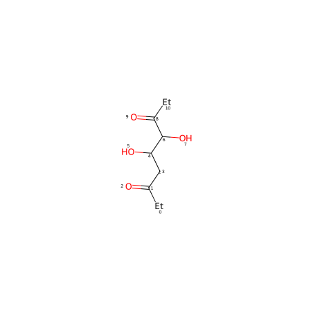 CCC(=O)[CH]C(O)C(O)C(=O)CC